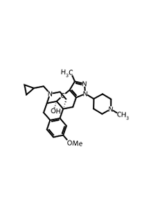 COc1ccc2c(c1)[C@@]13CCN(CC4CC4)C(C2)[C@@]1(O)Cc1c(C)nn(C2CCN(C)CC2)c1C3